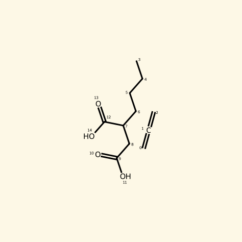 C=C=C.CCCCC(CC(=O)O)C(=O)O